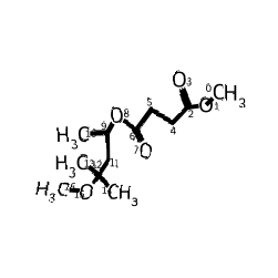 COC(=O)CCC(=O)OC(C)CC(C)(C)OC